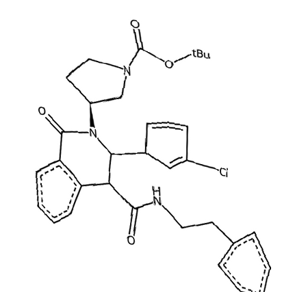 CC(C)(C)OC(=O)N1CC[C@H](N2C(=O)c3ccccc3C(C(=O)NCCc3ccccc3)C2C2C=CC(Cl)=C2)C1